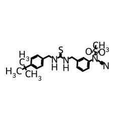 CC(C)(C)c1ccc(CNC(=S)NCc2cccc(N(C#N)S(C)(=O)=O)c2)cc1